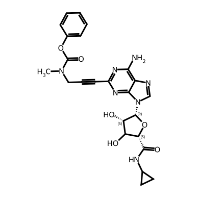 CN(CC#Cc1nc(N)c2ncn([C@@H]3O[C@H](C(=O)NC4CC4)C(O)[C@@H]3O)c2n1)C(=O)Oc1ccccc1